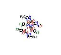 CC(C)(C(=O)Nc1ccc(C(F)(F)F)cn1)S(=O)(=O)c1ccc(N2CCOCC2)nc1.CC(C)(C(=O)Nc1nc(-c2ccc(F)c(F)c2)cs1)S(=O)(=O)c1ccc(Cl)cc1.CCC(C)c1ccc(NC(=O)C(C)(C)S(=O)(=O)c2ccc(Cl)cc2)nc1